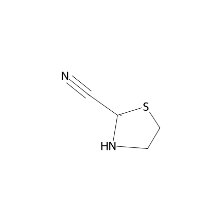 N#C[C]1NCCS1